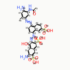 CC(=O)Nc1cc(/N=N/c2ccc(/N=N/c3c(S(=O)(=O)O)cc4cc(S(=O)(=O)O)c(N)cc4c3O)c3cc(S(=O)(=O)O)ccc23)c(C)cc1N